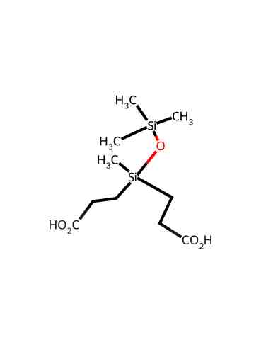 C[Si](C)(C)O[Si](C)(CCC(=O)O)CCC(=O)O